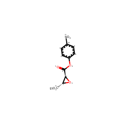 CCOC(=O)[C@H]1O[C@@H]1C(=O)Oc1ccc([N+](=O)[O-])cc1